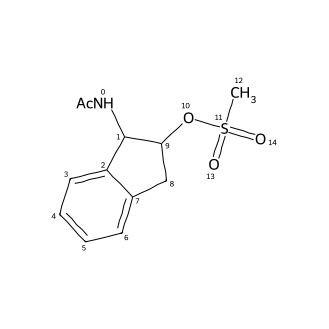 CC(=O)NC1c2ccccc2CC1OS(C)(=O)=O